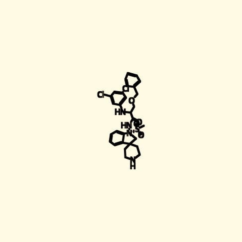 CS(=O)(=O)[N+]1(NC(=O)C(COCc2ccccc2)Nc2cc(Cl)cc(Cl)c2)CC2(CCNCC2)c2ccccc21